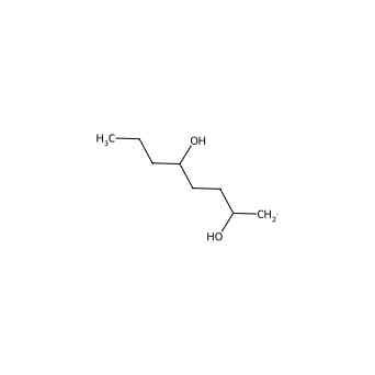 [CH2]C(O)CCC(O)CCC